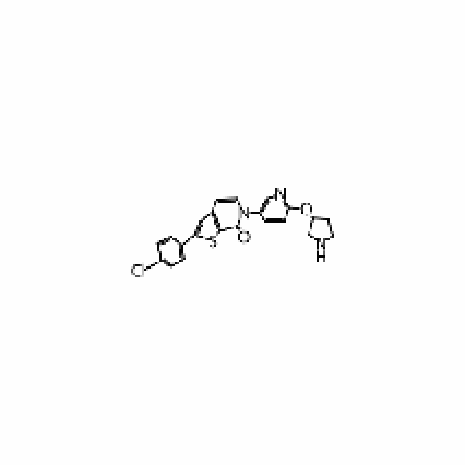 O=c1c2sc(-c3ccc(Cl)cc3)cc2ccn1-c1ccc(O[C@@H]2CCNC2)nc1